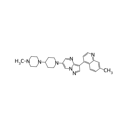 Cc1ccc2c(-c3cnn4cc(N5CCC(N6CCN(C)CC6)CC5)cnc34)ccnc2c1